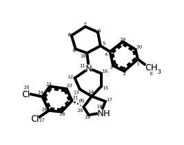 Cc1ccc(C2CCCCC2N2CCC3(CC2)CNC[C@@H]3c2ccc(Cl)c(Cl)c2)cc1